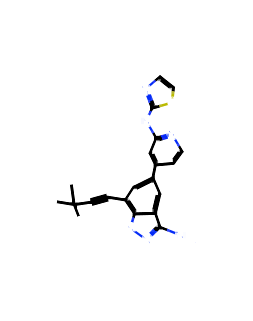 CC(C)(C)C#Cc1cc(-c2ccnc(Nc3nccs3)c2)cc2c(N)n[nH]c12